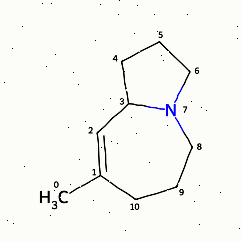 CC1=CC2CCCN2CCC1